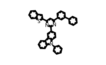 c1ccc(-c2cccc(-c3cc(-c4cc5ccccc5s4)nc(-c4ccc5c(c4)c4ccccc4n5-c4ccccc4)n3)c2)cc1